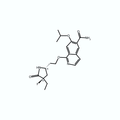 CC[C@@]1(F)C[C@@H](CCOc2nccc3cc(C(N)=O)c(OC(C)C)cc23)NC1=O